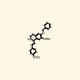 COc1cc2c(cc1OCc1ccccc1)CCNC2/C=C/c1ccc(C=O)cc1